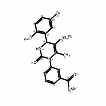 CCOC(=O)C1=C(C)N(c2cccc(C(=O)OC)c2)C(=O)NC1c1cc(Br)ccc1OC(C)=O